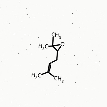 CC(C)=CCC1OC1(C)C